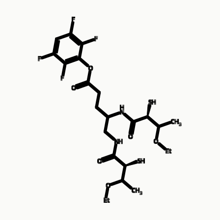 CCOC(C)[C@H](S)C(=O)NCC(CCC(=O)Oc1c(F)c(F)cc(F)c1F)NC(=O)[C@@H](S)C(C)OCC